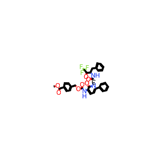 COC(=O)c1ccc(COC(=O)Nc2ccc(-c3ccccc3)n(CC(=O)NC(Cc3ccccc3)C(=O)C(F)(F)F)c2=O)cc1